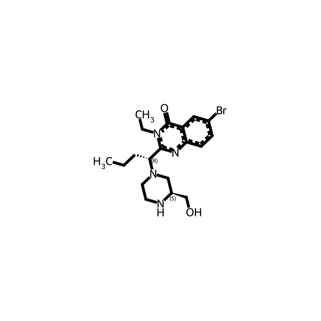 CCC[C@H](c1nc2ccc(Br)cc2c(=O)n1CC)N1CCN[C@H](CO)C1